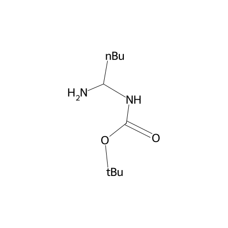 CCCCC(N)NC(=O)OC(C)(C)C